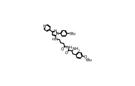 CC(C)(C)Oc1ccc(CC(N)C(=O)NC(=O)CCCNc2cc(-c3ccncc3)nn2-c2ccc(C(C)(C)C)cc2)cc1